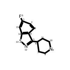 Fc1ccc2c(C3CC[N]CC3)nsc2c1